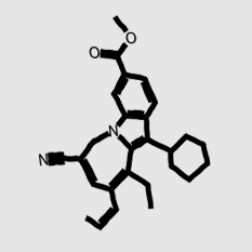 C/C=C\C1=C(CC)c2c(C3CCCCC3)c3ccc(C(=O)OC)cc3n2CC(C#N)=C1